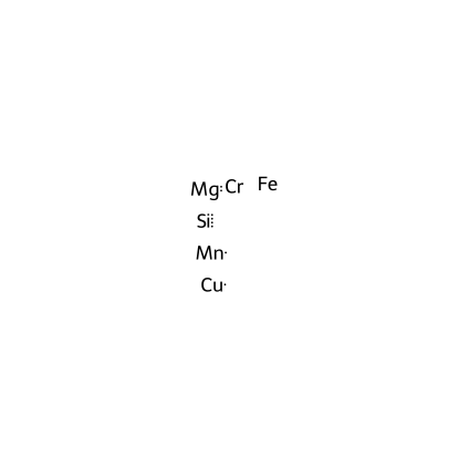 [Cr].[Cu].[Fe].[Mg].[Mn].[Si]